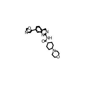 O=C(Nc1ncc2ccc(-c3cnco3)cc2n1)[C@H]1CC[C@@H](N2CCOCC2)CC1